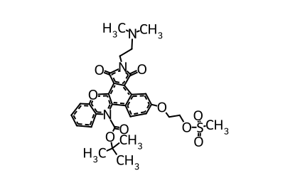 CN(C)CCn1c(=O)c2c3cc(OCCOS(C)(=O)=O)ccc3c3c(oc4ccccc4n3C(=O)OC(C)(C)C)c2c1=O